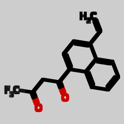 C=Cc1ccc(C(=O)CC(=O)C(F)(F)F)c2ccccc12